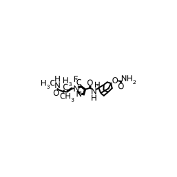 CNC(=O)C(C)(C)/C=C/n1ncc(C(=O)N[C@H]2C3CC4CC2C[C@](OC(N)=O)(C4)C3)c1CF